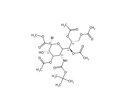 COC(=O)[C@@]1(Br)OC([C@H](OC(C)=O)[C@@H](COC(C)=O)OC(C)=O)[C@H](NC(=O)OC(C)(C)C)C(OC(C)=O)[C@@H]1O